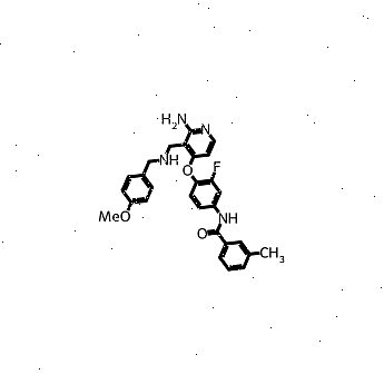 COc1ccc(CNCc2c(Oc3ccc(NC(=O)c4cccc(C)c4)cc3F)ccnc2N)cc1